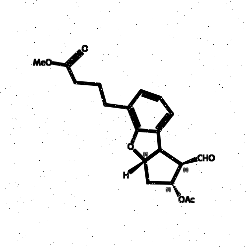 COC(=O)CCCc1cccc2c1O[C@H]1C[C@@H](OC(C)=O)[C@H](C=O)C21